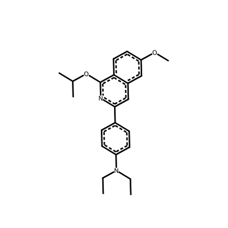 CCN(CC)c1ccc(-c2cc3cc(OC)ccc3c(OC(C)C)n2)cc1